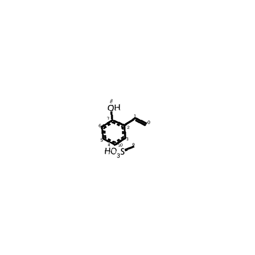 C=Cc1ccccc1O.CS(=O)(=O)O